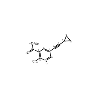 COC(=O)c1cc(C#CC2CC2)cnc1Cl